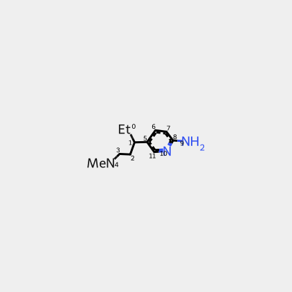 CCC(CCNC)c1ccc(N)nc1